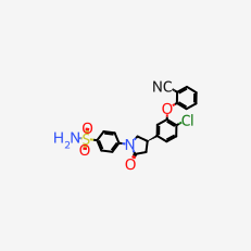 N#Cc1ccccc1Oc1cc([C@H]2CC(=O)N(c3ccc(S(N)(=O)=O)cc3)C2)ccc1Cl